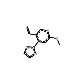 COc1cc(-n2nccn2)c(C=O)cn1